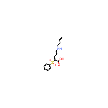 C=CCCNC=CC=C(C(=O)O)S(=O)(=O)c1ccccc1